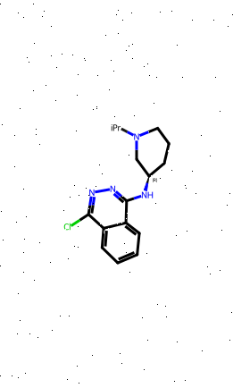 CC(C)N1CCC[C@@H](Nc2nnc(Cl)c3ccccc23)C1